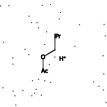 CC(=O)OCC(C)C.[H+]